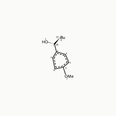 CC[C@H](C)[C@@H](O)c1ccc(OC)cc1